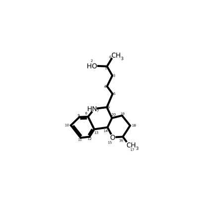 CC(O)CCCC1Nc2ccccc2C2OC(C)CCC12